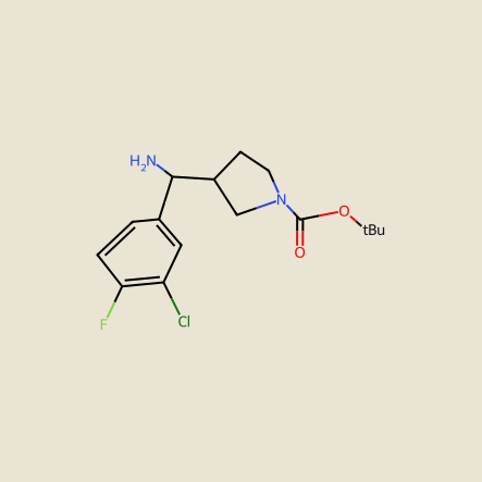 CC(C)(C)OC(=O)N1CCC(C(N)c2ccc(F)c(Cl)c2)C1